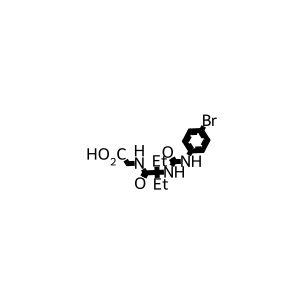 CCC(CC)(NC(=O)Nc1ccc(Br)cc1)C(=O)NCC(=O)O